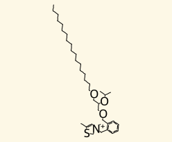 CCCCCCCCCCCCCCCCCCOCC(COCc1ccccc1C[N+]1(C)C=C(C)SC1)OC(C)C